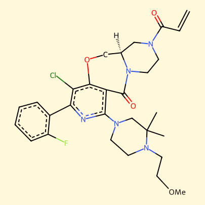 C=CC(=O)N1CCN2C(=O)c3c(N4CCN(CCOC)C(C)(C)C4)nc(-c4ccccc4F)c(Cl)c3OC[C@H]2C1